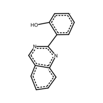 Oc1c[c]ccc1-c1ncc2ccccc2n1